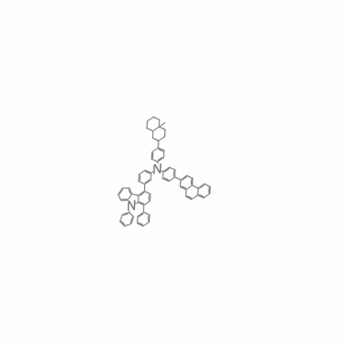 CC12CCCCC1CC(c1ccc(N(c3ccc(-c4ccc5c(ccc6ccccc65)c4)cc3)c3cccc(-c4ccc(-c5ccccc5)c5c4c4ccccc4n5-c4ccccc4)c3)cc1)CC2